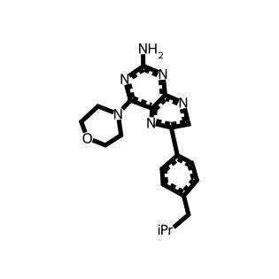 CC(C)Cc1ccc(-c2cnc3nc(N)nc(N4CCOCC4)c3n2)cc1